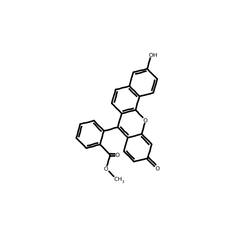 COC(=O)c1ccccc1-c1c2ccc(=O)cc-2oc2c1ccc1cc(O)ccc12